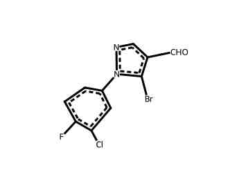 O=Cc1cnn(-c2ccc(F)c(Cl)c2)c1Br